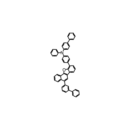 c1ccc(-c2ccc(N(c3ccccc3)c3ccc(-c4cccc5c4oc4c6ccccc6c(-c6cccc(-c7ccccc7)c6)cc54)cc3)cc2)cc1